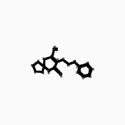 O=C1OC2(CCCC2)CC(O)=C1CCCc1ccccc1